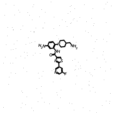 NCC1CCN(c2ccc(N)cc2NC(=O)c2csc(-c3cncc(F)c3)n2)CC1